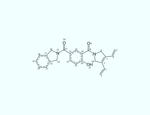 C=CC1=C(C=C)CN(C(=O)c2cc(C(=O)N3Cc4ccccc4C3)ccc2O)C1